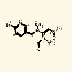 CN(C=O)C(=C[N+](=O)[O-])N(C)Cc1ccc(Br)nc1